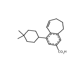 CC1(C)CCC(c2cc(C(=O)O)cc3c2C=CCCC3)CC1